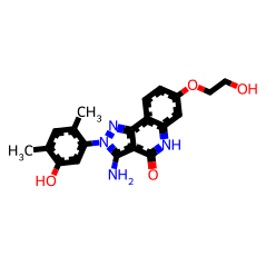 Cc1cc(C)c(-n2nc3c(c2N)c(=O)[nH]c2cc(OCCO)ccc23)cc1O